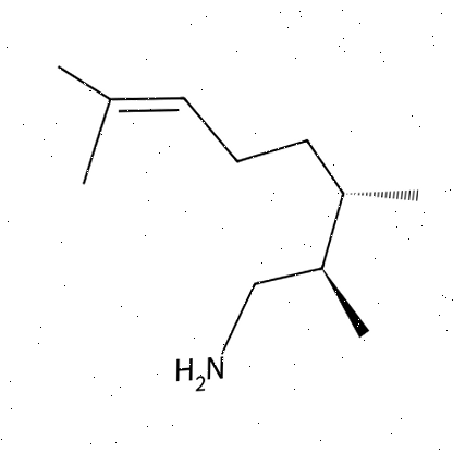 CC(C)=CCC[C@H](C)[C@@H](C)CN